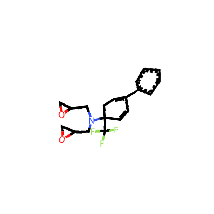 FC(F)(F)C1(N(CC2CO2)CC2CO2)C=CC(c2ccccc2)=CC1